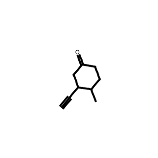 C#CC1CC(=O)CCC1C